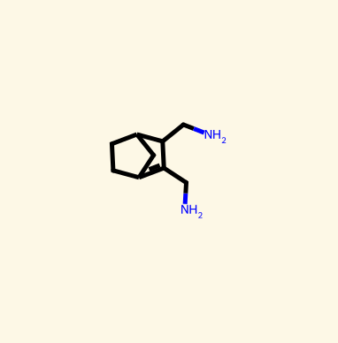 NCC1=C2CCC(C2)C1CN